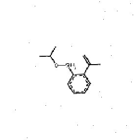 C=C(C)c1ccccc1[SiH2]OC(C)C